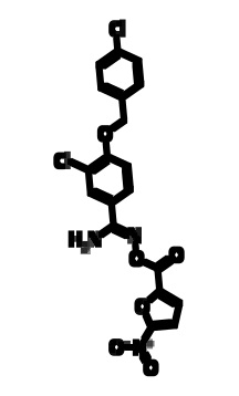 NC(=NOC(=O)c1ccc([N+](=O)[O-])o1)c1ccc(OCc2ccc(Cl)cc2)c(Cl)c1